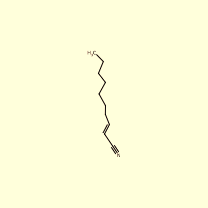 CCCCCCCC=CC#N